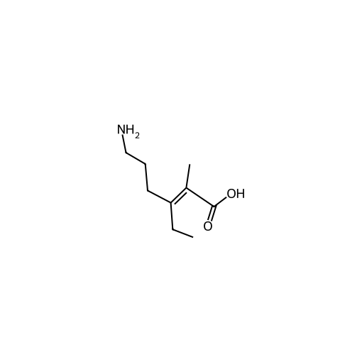 CCC(CCCN)=C(C)C(=O)O